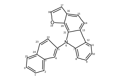 c1ccc2cc(-n3c4ccccc4c4ccc5ccoc5c43)ccc2c1